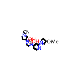 COC1CCN(c2cc(N3CCN(C4CCN(C#N)C4)S3(O)O)ccn2)C1